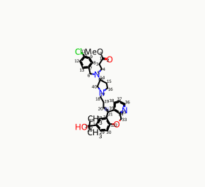 COC(=O)CCN(Cc1ccc(Cl)cc1)[C@@H]1CCN(CC/C=C2/c3cc(C(C)(C)O)ccc3OCc3ncccc32)C1